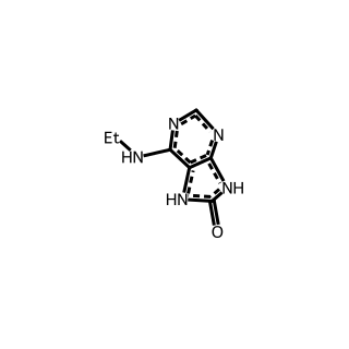 CCNc1ncnc2[nH]c(=O)[nH]c12